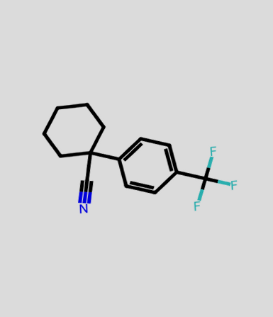 N#CC1(c2ccc(C(F)(F)F)cc2)CCCCC1